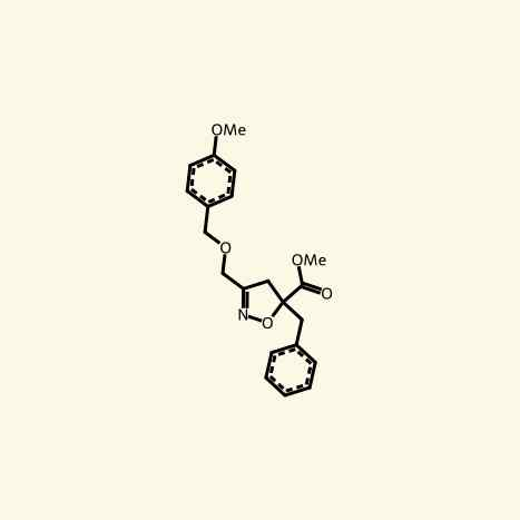 COC(=O)C1(Cc2ccccc2)CC(COCc2ccc(OC)cc2)=NO1